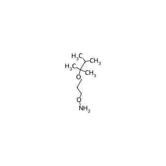 C[C](C)C(C)(C)OCCCON